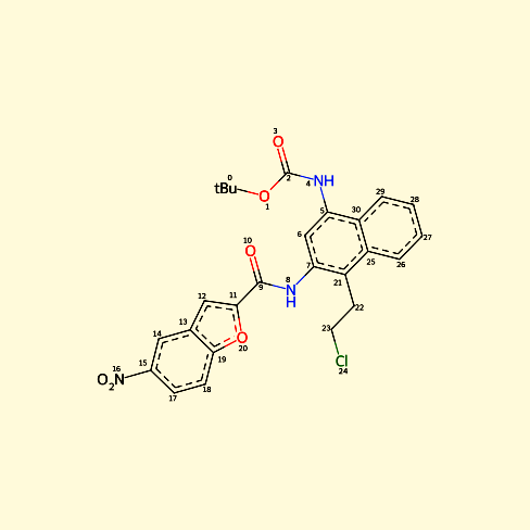 CC(C)(C)OC(=O)Nc1cc(NC(=O)c2cc3cc([N+](=O)[O-])ccc3o2)c(CCCl)c2ccccc12